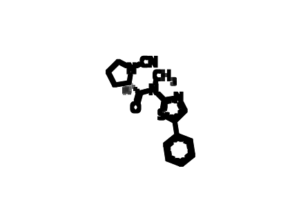 CN(C(=O)[C@@H]1CCCN1C#N)c1ncc(-c2ccccc2)s1